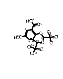 Cc1cc(C(=O)O)c2c(c1)C(C(Cl)(Cl)Cl)OC(C(Cl)(Cl)Cl)O2